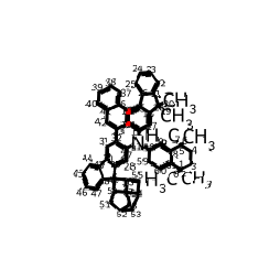 CC1(C)CCC(C)(C)C2=CC(N(c3ccc4c(c3)C(C)(C)c3ccccc3-4)c3cc4c(cc3-c3ccc5ccccc5c3)-c3ccccc3C43C4CC5CC6CC3C64C5)CC=C21